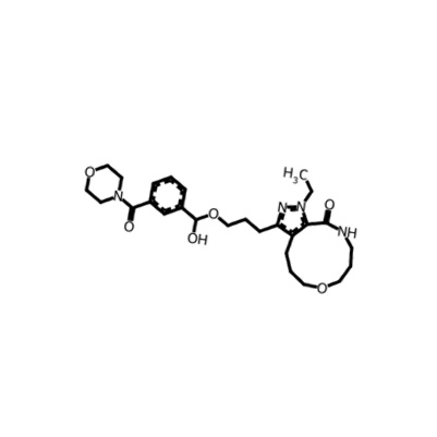 CCn1nc(CCCOC(O)c2cccc(C(=O)N3CCOCC3)c2)c2c1C(=O)NCCCOCCC2